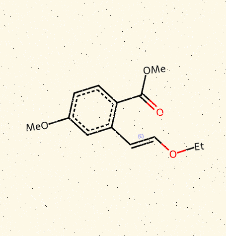 CCO/C=C/c1cc(OC)ccc1C(=O)OC